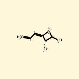 C=C/C=C1/NC(O)[C@@H]1C(C)C